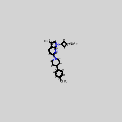 CN[C@H]1C[C@H](n2cc(C#N)c3ccc(N4CCC(c5ccc(C=O)cc5)CC4)nc32)C1